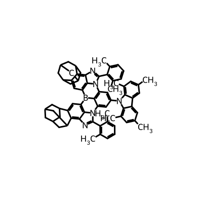 Cc1cc(C)c2c(c1)c1cc(C)cc(C)c1n2-c1cc2c3c(c1)-n1c(-c4c(C)cccc4C)nc4c5c(cc(c41)B3c1cc3c(c4nc(-c6c(C)cccc6C)n-2c14)C1CC2CC(CC3C2)C1)C1CC2CC(C1)CC5C2